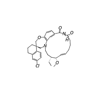 CC[C@@H]1CCN2C[C@@]3(CCCc4cc(Cl)ccc43)COc3ccc(cc32)C(=O)/N=[SH](=O)\CCC/C=C/[C@@H]1OC